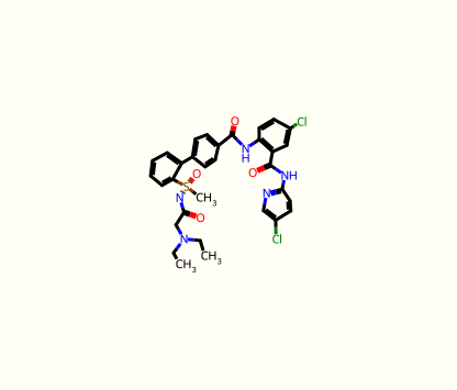 CCN(CC)CC(=O)N=S(C)(=O)c1ccccc1-c1ccc(C(=O)Nc2ccc(Cl)cc2C(=O)Nc2ccc(Cl)cn2)cc1